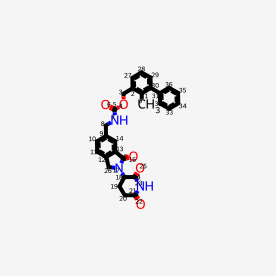 Cc1c(COC(=O)NCc2ccc3c(c2)C(=O)N(C2CCC(=O)NC2=O)C3)cccc1-c1ccccc1